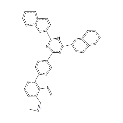 C=Nc1c(/C=C\C)cccc1-c1ccc(-c2nc(-c3ccc4ccccc4c3)nc(-c3ccc4ccccc4c3)n2)cc1